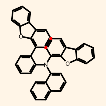 c1ccc(N(c2cccc3ccccc23)c2cccc3c2oc2ccccc23)c(-c2cccc3c2oc2ccccc23)c1